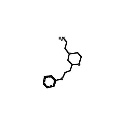 NCCN1CCOC(CCSc2ccccc2)C1